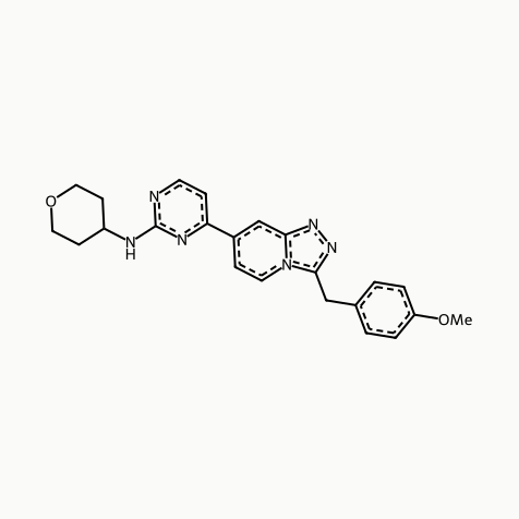 COc1ccc(Cc2nnc3cc(-c4ccnc(NC5CCOCC5)n4)ccn23)cc1